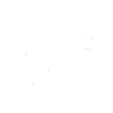 COC(=O)C(Cc1ccc(OCc2cnc3ccc(OC)cc3c2OC(C)C)cc1)C(=O)OC